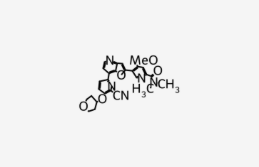 COc1cc(C(=O)N(C)C)ncc1-c1cc2nccc(-c3ccc(OC4CCOCC4)c(C#N)n3)c2o1